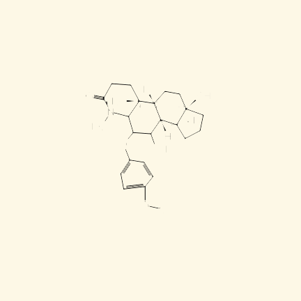 CC1C(Oc2ccc(OC(F)(F)F)cc2)C2N(C)C(=O)CC[C@]2(C)[C@@H]2CC[C@]3(C)CCC[C@H]3[C@H]12